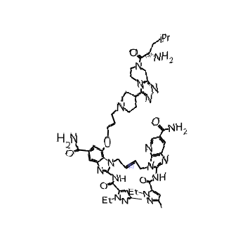 CCn1nc(C)cc1C(=O)Nc1nc2cc(C(N)=O)cnc2n1C/C=C/Cn1c(NC(=O)c2cc(C)nn2CC)nc2cc(C(N)=O)cc(OCCCN3CCC(c4nnc5n4CCN(C(=O)[C@@H](N)CC(C)C)C5)CC3)c21